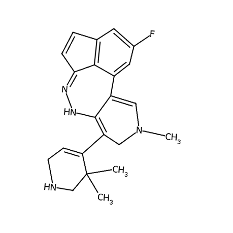 CN1C=C2C(=C(C3=CCNCC3(C)C)C1)NN=C1C=Cc3cc(F)cc2c31